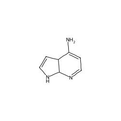 NC1=CC=NC2NC=CC12